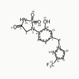 O=C1CN(c2ccc(Cn3ccc(C(F)(F)F)n3)cc2O)S(=O)(=O)N1